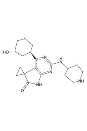 O=C1Nc2nc(NC3CCNCC3)nc([C@@H]3CCC[C@@H](O)C3)c2C12CC2